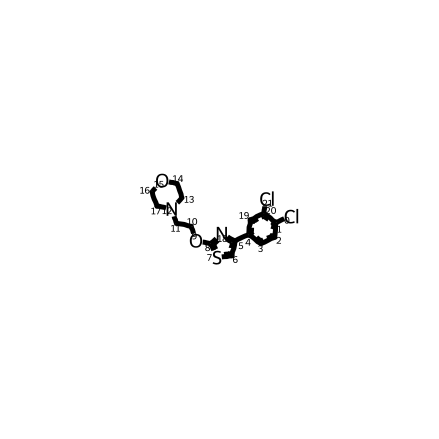 Clc1ccc(-c2csc(OCCN3CCOCC3)n2)cc1Cl